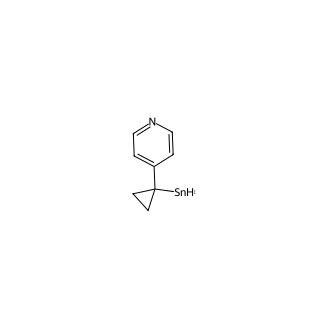 [SnH][C]1(c2ccncc2)CC1